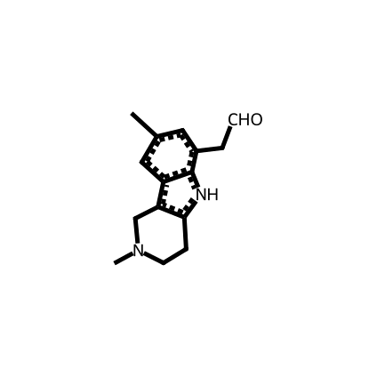 Cc1cc(CC=O)c2[nH]c3c(c2c1)CN(C)CC3